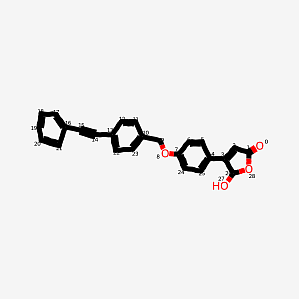 O=C1C=C(c2ccc(OCc3ccc(C#Cc4ccccc4)cc3)cc2)C(O)O1